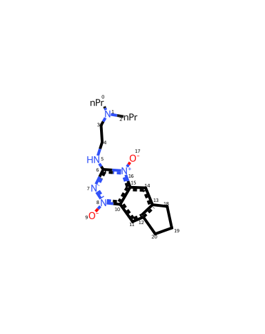 CCCN(CCC)CCNc1n[n+]([O-])c2cc3c(cc2[n+]1[O-])CCC3